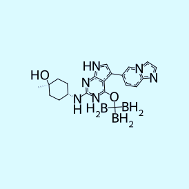 BC(B)(B)Oc1nc(N[C@H]2CC[C@](C)(O)CC2)nc2[nH]cc(-c3ccc4nccn4c3)c12